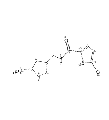 O=C(NCC1CNC(C(=O)O)C1)c1ccc(Cl)s1